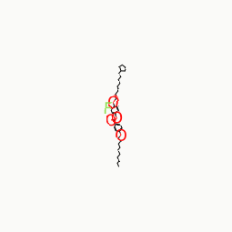 CCCCCCCCCCOc1ccc(C(=O)Oc2ccc(OCCCCCCCCC3CCCC3)c(F)c2)cc1